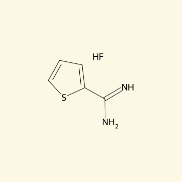 F.N=C(N)c1cccs1